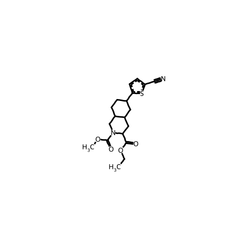 CCOC(=O)C1CC2CC(c3ccc(C#N)s3)CCC2CN1C(=O)OC